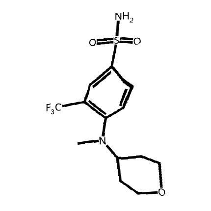 CN(c1ccc(S(N)(=O)=O)cc1C(F)(F)F)C1CCOCC1